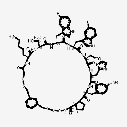 COc1ccc(C[C@@H]2NC(=O)[C@H](Cc3ncc[nH]3)NC(=O)[C@H](CC(=O)O)NC(=O)[C@H](Cc3c[nH]c4ccc(F)cc34)NC(=O)[C@H](Cc3c[nH]c4ccc(F)cc34)NC(=O)[C@@H]([C@@H](C)O)NC(=O)[C@H](CCCCN)NC(=O)CCSCc3cccc(c3)CSCCNC(=O)[C@]3(C)CCCC3C2=O)cc1